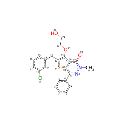 Cn1nc(-c2ccccc2)c2sc(Cc3cccc(Cl)c3)c(OCCO)c2c1=O